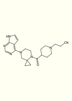 N#CCCN1CCC(C(=O)N2CCN(c3ncnc4[nH]ccc34)CC23CC3)CC1